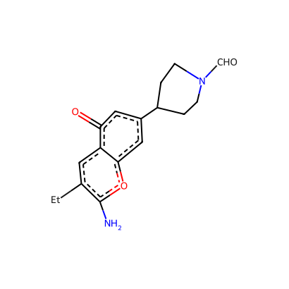 CCc1cc2c(=O)cc(C3CCN(C=O)CC3)cc-2oc1N